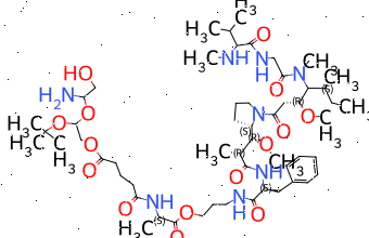 CC[C@H](C)C([C@@H](CC(=O)N1CCC[C@H]1[C@H](OC)[C@@H](C)C(=O)N[C@@H](Cc1ccccc1)C(=O)NCCCOC(=O)[C@H](C)NC(=O)CCCC(=O)OCC(OC(N)CO)OC(C)(C)C)OC)N(C)C(=O)CNC(=O)C(NC)C(C)C